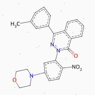 Cc1cccc(-c2nn(-c3cc(N4CCOCC4)ccc3[N+](=O)[O-])c(=O)c3ccccc23)c1